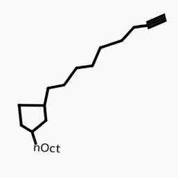 C#CCCCCCCCC1CCC(CCCCCCCC)C1